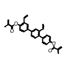 C=Cc1cc(-c2ccc(-c3ccc(OC(=O)C(=C)C)cc3)c(C=C)c2)ccc1OC(=O)C(=C)C